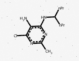 CCCC(CCC)Nc1nc(C)nc(Cl)c1N